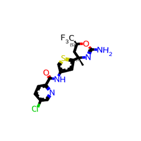 C[C@@]1(c2cc(NC(=O)c3ccc(Cl)cn3)cs2)C[C@@H](C(F)(F)F)OC(N)=N1